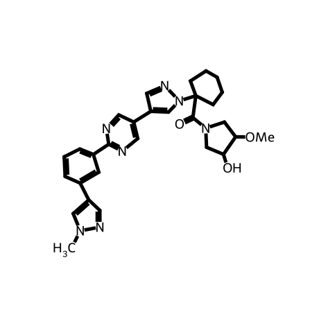 COC1CN(C(=O)C2(n3cc(-c4cnc(-c5cccc(-c6cnn(C)c6)c5)nc4)cn3)CCCCC2)CC1O